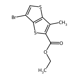 CCOC(=O)c1sc2c(Br)csc2c1C